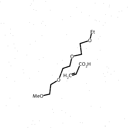 C=CC(=O)O.CCOCCOCCOCCOC